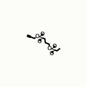 C#CCOS(=O)(=O)CCCOS(=O)(=O)CC